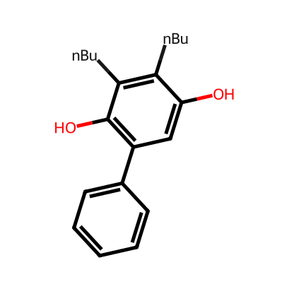 CCCCc1c(O)cc(-c2ccccc2)c(O)c1CCCC